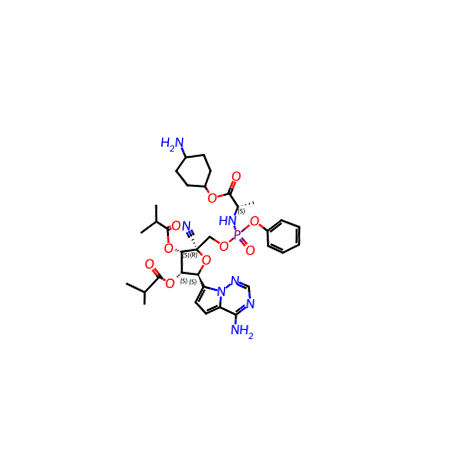 CC(C)C(=O)O[C@H]1[C@H](c2ccc3c(N)ncnn23)O[C@](C#N)(COP(=O)(N[C@@H](C)C(=O)OC2CCC(N)CC2)Oc2ccccc2)[C@H]1OC(=O)C(C)C